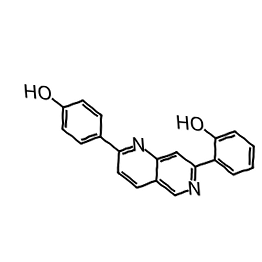 Oc1ccc(-c2ccc3cnc(-c4ccccc4O)cc3n2)cc1